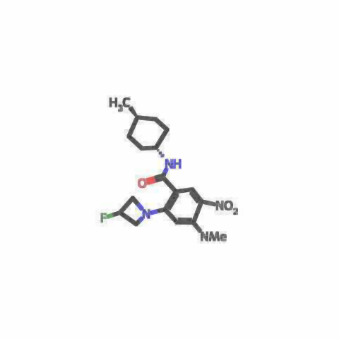 CNc1cc(N2CC(F)C2)c(C(=O)N[C@H]2CC[C@H](C)CC2)cc1[N+](=O)[O-]